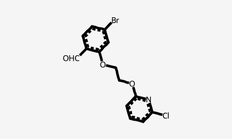 O=Cc1ccc(Br)cc1OCCOc1cccc(Cl)n1